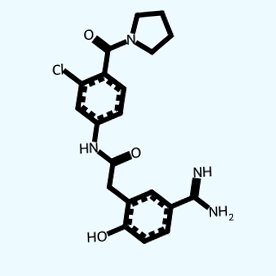 N=C(N)c1ccc(O)c(CC(=O)Nc2ccc(C(=O)N3CCCC3)c(Cl)c2)c1